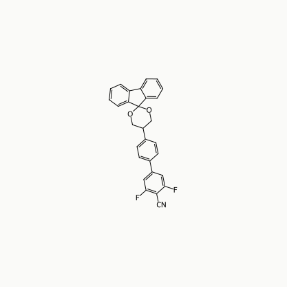 N#Cc1c(F)cc(-c2ccc(C3COC4(OC3)c3ccccc3-c3ccccc34)cc2)cc1F